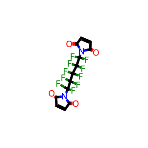 O=C1C=CC(=O)N1C(F)(F)C(F)(F)C(F)(F)C(F)(F)C(F)(F)N1C(=O)C=CC1=O